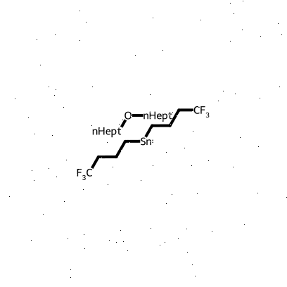 CCCCCCCOCCCCCCC.FC(F)(F)CC[CH2][Sn][CH2]CCC(F)(F)F